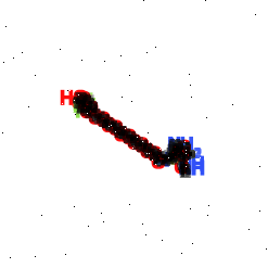 CCCN(OCCNC(=O)NCC)C(=O)C1=Cc2sc(CC3CN(C(=O)CCOCCOCCOCCOCCOCCOCCOCCOCCOCCOCCC(=O)Oc4c(F)c(F)c(S(=O)(=O)O)c(F)c4F)C3)cc2C=C(N)C1